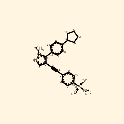 Cn1ncc(C#Cc2ccc(S(N)(=O)=O)cc2)c1-c1ccc(C2CCCC2)cc1